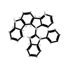 c1ccc(-n2c(-n3c4cccnc4c4ccc5sc6ccccc6c5c43)nc3ccccc32)cc1